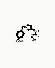 COc1ccc(CN2CCC(NC(=O)OC(C)(C)C)C2)cc1